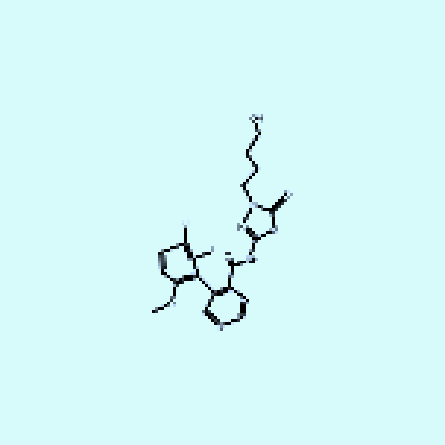 COc1ccc(Cl)c(F)c1-c1cnccc1C(=O)Nc1nn(CCCCO)c(=O)s1